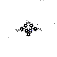 C=C(/C=C\C(=C/C)N(C1=CC[C@@H](C)CC1)c1ccc(C)cc1)C1(c2ccc(N(c3ccc(C)cc3)c3ccc(C)cc3)cc2)CCCCC1